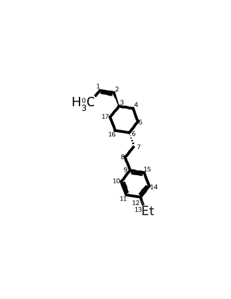 C/C=C\[C@H]1CC[C@H](CCc2ccc(CC)cc2)CC1